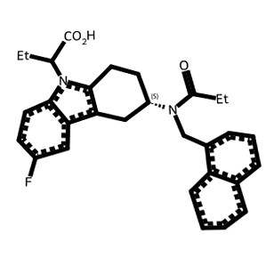 CCC(=O)N(Cc1cccc2ccccc12)[C@H]1CCc2c(c3cc(F)ccc3n2C(CC)C(=O)O)C1